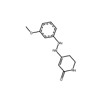 COc1cccc(NNC2=CC(=O)NCC2)c1